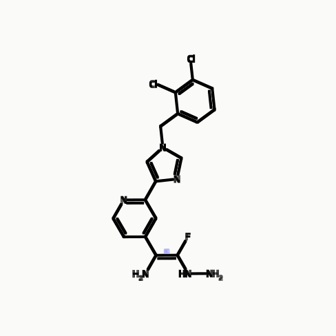 NN/C(F)=C(\N)c1ccnc(-c2cn(Cc3cccc(Cl)c3Cl)cn2)c1